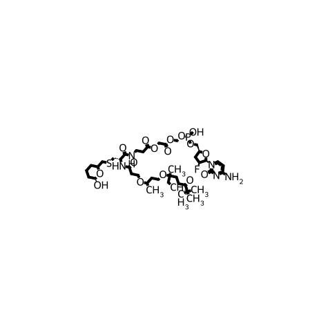 CCC(C)(CCC(=O)C(C)(C)C)OCCC(C)OCCC(=O)N[C@H](CSCC1CCC[C@@H](O)O1)C(=O)NCCC(=O)OCC(=O)OCOP(O)OC[C@@H]1C[C@H](F)[C@H](n2ccc(N)nc2=O)O1